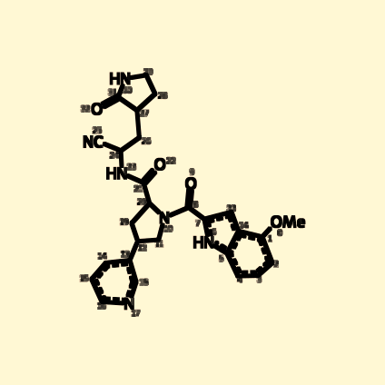 COc1cccc2[nH]c(C(=O)N3CC(c4cccnc4)CC3C(=O)NC(C#N)CC3CCNC3=O)cc12